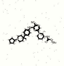 C[C@@H]1[C@H](NC(=O)OC(C)(C)C)CCCN1c1cnc(C#N)c(Nc2ccc(C3(C)CCN(C4CCCC4)CC3)cc2)n1